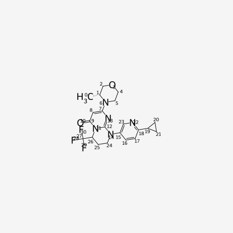 C[C@@H]1COCCN1c1cc(=O)n2c(n1)N(c1ccc(C3CC3)nc1)CCC2C(F)(F)F